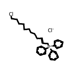 ClCCCCCCCCCC=CC[P+](c1ccccc1)(c1ccccc1)c1ccccc1.[Cl-]